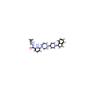 O=C(NCC1CC1)C1=CC=CC(N2CCCN(C3CCN(C4CCc5ccccc54)CC3)CC2)N1